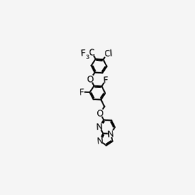 Fc1cc(COc2ccn3ccnc3n2)cc(F)c1Oc1ccc(Cl)c(C(F)(F)F)c1